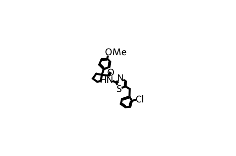 COc1ccc(C2(C(=O)Nc3ncc(Cc4ccccc4Cl)s3)CCCC2)cc1